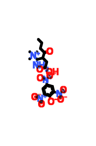 CCCC(=O)C(CC(=O)O)[C@H](N)[N+](C)(C)C.O=[N+]([O-])c1cc([N+](=O)[O-])c([O-])c([N+](=O)[O-])c1